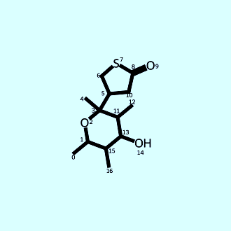 CC1OC(C)(C2CSC(=O)C2)C(C)C(O)C1C